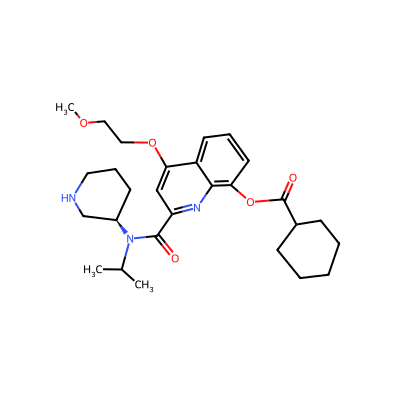 COCCOc1cc(C(=O)N(C(C)C)[C@@H]2CCCNC2)nc2c(OC(=O)C3CCCCC3)cccc12